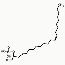 CCCCCCCC/C=C\CCCCCCCCOCC(CO)OP(=O)(O)O